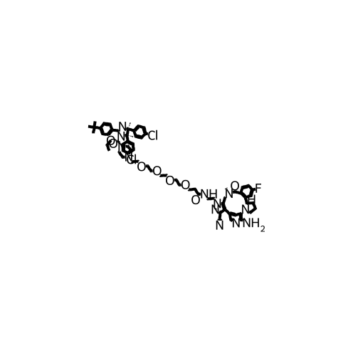 CCOc1cc(C(C)(C)C)ccc1C1=N[C@@](C)(c2ccc(Cl)cc2)[C@@](C)(c2ccc(Cl)cc2)N1C(=O)N1CCN(CCOCCOCCOCCOCCC(=O)NCCn2nc(C#N)c3c2CN(C)C(=O)c2ccc(F)cc2[C@H]2CCCN2c2cc-3cnc2N)CC1